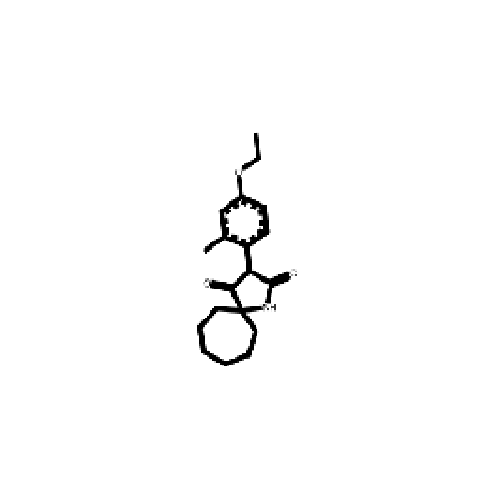 CCOc1ccc(C2C(=O)NC3(CCCCCC3)C2=O)c(C)c1